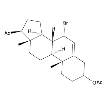 CC(=O)OC1CC[C@@]2(C)C(=C[C@@H](Br)[C@H]3[C@@H]4CC[C@H](C(C)=O)[C@@]4(C)CC[C@@H]32)C1